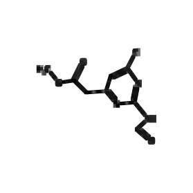 COC(=O)Cc1cc(Cl)nc(NC=O)n1